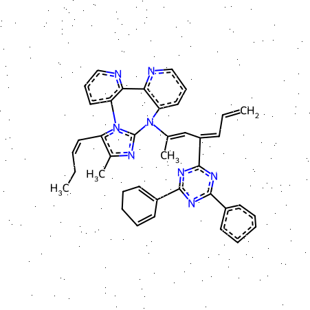 C=C/C=C(\C=C(/C)N1c2cccnc2-c2ncccc2-n2c1nc(C)c2/C=C\CC)c1nc(C2=CCCC=C2)nc(-c2ccccc2)n1